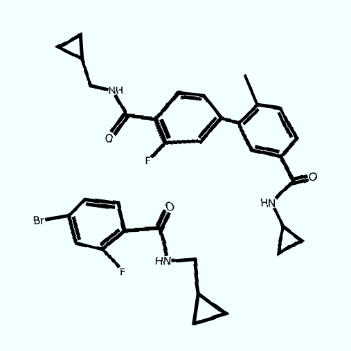 Cc1ccc(C(=O)NC2CC2)cc1-c1ccc(C(=O)NCC2CC2)c(F)c1.O=C(NCC1CC1)c1ccc(Br)cc1F